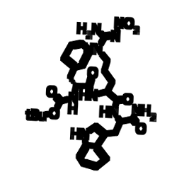 CC(C)(C)OC(=O)N[C@H](Cc1ccccc1)C(=O)NC(CCCNC(N)=N[N+](=O)[O-])C(=O)NC(Cc1c[nH]c2ccccc12)C(N)=O